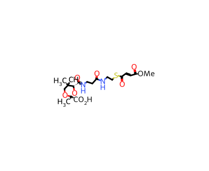 COC(=O)/C=C/C(=O)SCCNC(=O)CCNC(=O)[C@@H]1OC(C)(C(=O)O)OCC1(C)C